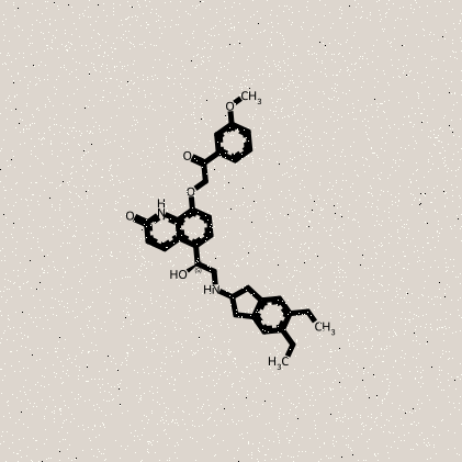 CCc1cc2c(cc1CC)CC(NC[C@@H](O)c1ccc(OCC(=O)c3cccc(OC)c3)c3[nH]c(=O)ccc13)C2